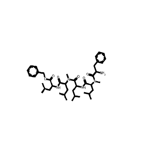 CC(C)CC(NC(=O)C(CC(C)C)N(C)C(=O)C(CC(C)C)NC(=O)C(CC(C)C)N(C)C(=O)C(N)Cc1ccccc1)C(=O)OCc1ccccc1